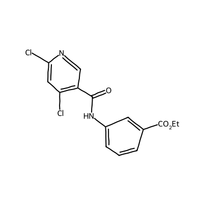 CCOC(=O)c1cccc(NC(=O)c2cnc(Cl)cc2Cl)c1